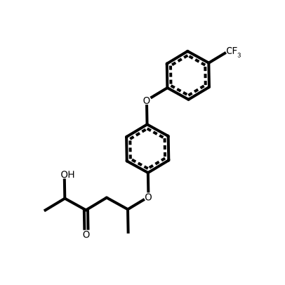 CC(CC(=O)C(C)O)Oc1ccc(Oc2ccc(C(F)(F)F)cc2)cc1